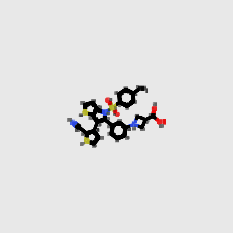 Cc1ccc(S(=O)(=O)n2c(-c3cccc(N4CC(C(=O)O)C4)c3)c(-c3ccsc3C#N)c3sccc32)cc1